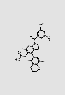 COc1cc(OC)cc(C(=O)N2CCc3c2cc(C)c(CC(=O)O)c3-c2cc(F)c3c(c2C)CCCO3)c1